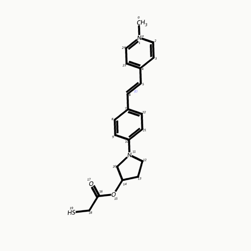 C[n+]1ccc(/C=C/c2ccc(N3CCC(OC(=O)CS)C3)cc2)cc1